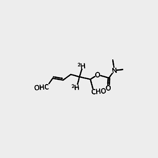 [2H]C([2H])(CC=CC=O)C(C=O)OC(=O)N(C)C